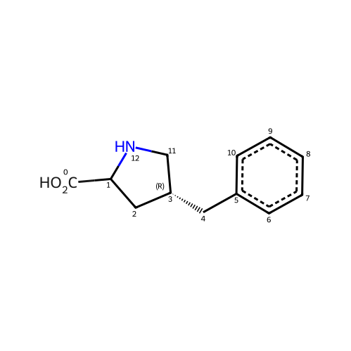 O=C(O)C1C[C@@H](Cc2ccccc2)CN1